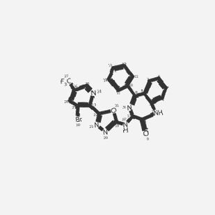 O=C1Nc2ccccc2C(c2ccccc2)=NC1Nc1nnc(-c2ncc(C(F)(F)F)cc2Br)o1